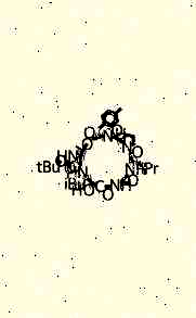 CC[C@H](C)[C@H]1NC(=O)[C@@H](NC(=O)OC(C)(C)C)[C@@H](C)OC(=O)[C@H](Cc2ccc(C)cc2)N(C)C(=O)[C@@H]2CCCN2C(=O)[C@H](CC(C)C)NC(=O)C(C)(C)NC(=O)C[C@@H]1O